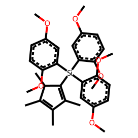 COc1ccc(OC)c([Si](C2=C(C)C(C)=C(C)C2C)(c2cc(OC)ccc2OC)c2cc(OC)ccc2OC)c1